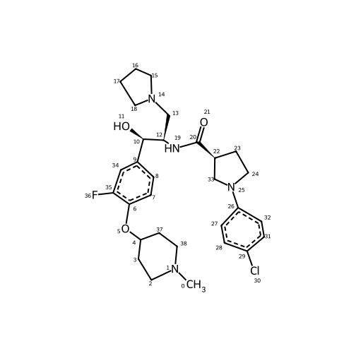 CN1CCC(Oc2ccc([C@@H](O)[C@@H](CN3CCCC3)NC(=O)[C@H]3CCN(c4ccc(Cl)cc4)C3)cc2F)CC1